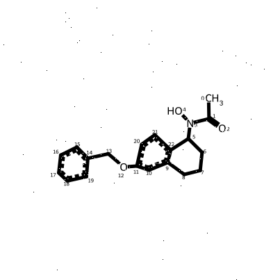 CC(=O)N(O)C1CCCc2cc(OCc3ccccc3)ccc21